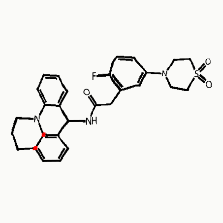 O=C(Cc1cc(N2CCS(=O)(=O)CC2)ccc1F)NC(c1ccccc1)c1ccccc1N1CCCCC1